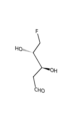 O=CC[C@H](O)[C@H](O)CF